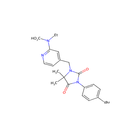 CCN(C(=O)O)c1cc(CN2C(=O)N(c3ccc(C(C)(C)C)cc3)C(=O)C2(C)C)ccn1